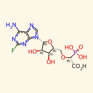 Nc1nc(F)nc2c1ncn2[C@@H]1O[C@H](CO[C@@H](C(=O)O)P(=O)(O)O)[C@@H](O)[C@H]1O